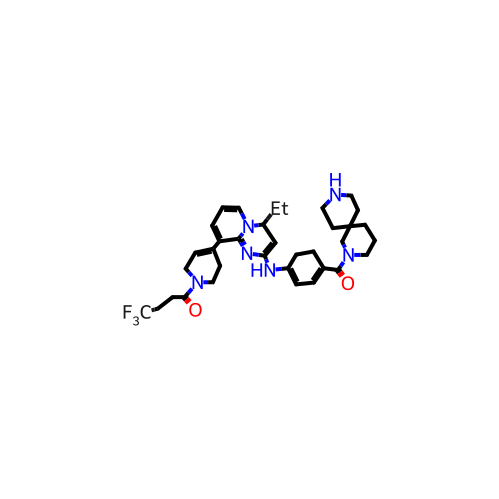 CCC1C=C(NC2=CC=C(C(=O)N3CCCC4(CCNCC4)C3)CC2)N=C2C(C3=CCN(C(=O)CCC(F)(F)F)CC3)=CC=CN21